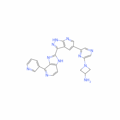 NC1CN(c2cncc(-c3cnc4[nH]nc(-c5nc6c(-c7cccnc7)nccc6[nH]5)c4c3)n2)C1